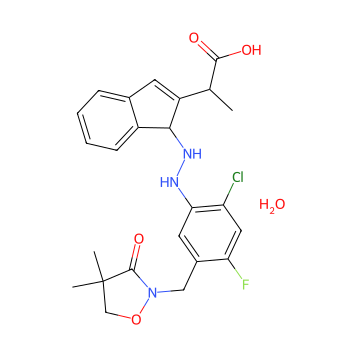 CC(C(=O)O)C1=Cc2ccccc2C1NNc1cc(CN2OCC(C)(C)C2=O)c(F)cc1Cl.O